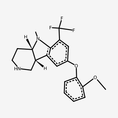 COc1ccccc1Oc1cc2c(c(C(F)(F)F)c1)N(C)[C@H]1CCNC[C@@H]21